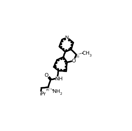 CC(C)C[C@@H](N)C(=O)Nc1ccc2c(c1)O[C@@H](C)c1cnccc1-2